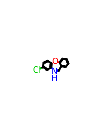 Clc1ccc2c(c1)NCc1ccccc1O2